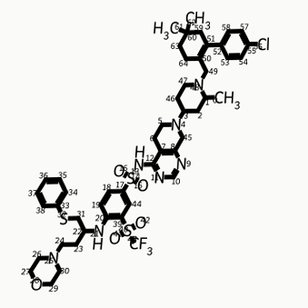 CC1CC(N2CCc3c(ncnc3NS(=O)(=O)c3ccc(NC(CCN4CCOCC4)CSc4ccccc4)c(S(=O)(=O)C(F)(F)F)c3)C2)CCN1CC1=C(c2ccc(Cl)cc2)CC(C)(C)CC1